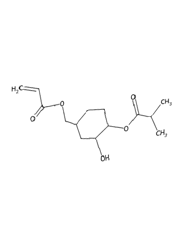 C=CC(=O)OCC1CCC(OC(=O)C(C)C)C(O)C1